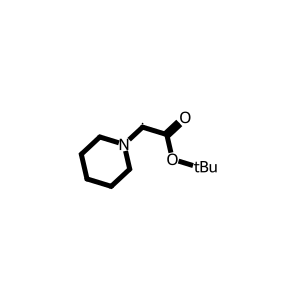 CC(C)(C)OC(=O)[CH]N1CCCCC1